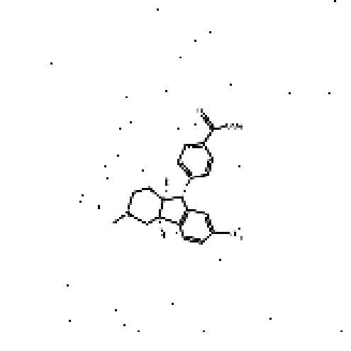 CCN1CC[C@H]2[C@H](c3ccc(C(=O)OC)cc3)c3cc(C)ccc3[C@H]2C1